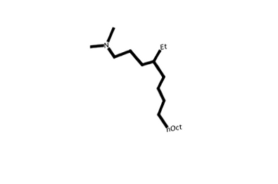 CCCCCCCCCCCCC(CC)CCCN(C)C